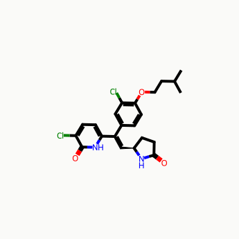 CC(C)CCOc1ccc(/C(=C\[C@H]2CCC(=O)N2)c2ccc(Cl)c(=O)[nH]2)cc1Cl